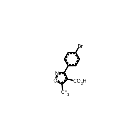 O=C(O)c1c(-c2ccc(Br)cc2)noc1C(F)(F)F